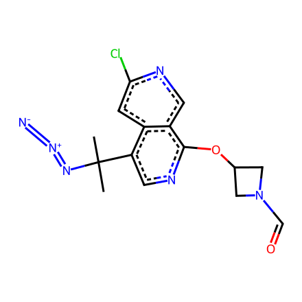 CC(C)(N=[N+]=[N-])c1cnc(OC2CN(C=O)C2)c2cnc(Cl)cc12